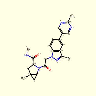 CC[C@@H](C)NC(=O)[C@@H]1C[C@@]2(C)CC2N1C(=O)Cn1nc(C(C)=O)c2cc(-c3cnc(C)nc3)ccc21